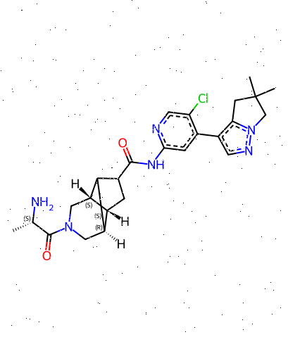 C[C@H](N)C(=O)N1C[C@@H]2C3C(C(=O)Nc4cc(-c5cnn6c5CC(C)(C)C6)c(Cl)cn4)C[C@@H]2[C@H]3C1